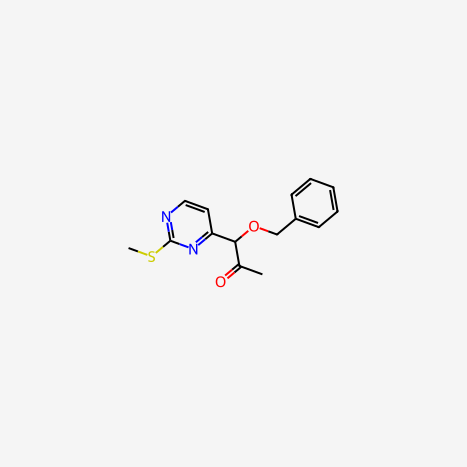 CSc1nccc(C(OCc2ccccc2)C(C)=O)n1